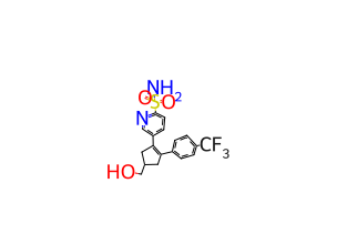 NS(=O)(=O)c1ccc(C2=C(c3ccc(C(F)(F)F)cc3)CC(CO)C2)cn1